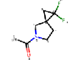 CC(C)C(=O)N1CCC2(C1)CC2(F)F